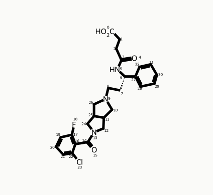 O=C(O)CCC(=O)N[C@@H](CCN1CC2CN(C(=O)c3c(F)cccc3Cl)CC2C1)c1ccccc1